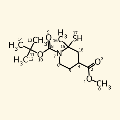 COC(=O)C1CCN(C(=O)OC(C)(C)C)C(C)(S)C1